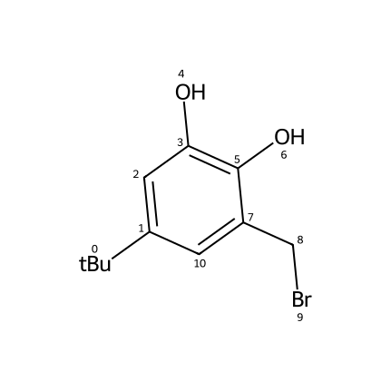 CC(C)(C)c1cc(O)c(O)c(CBr)c1